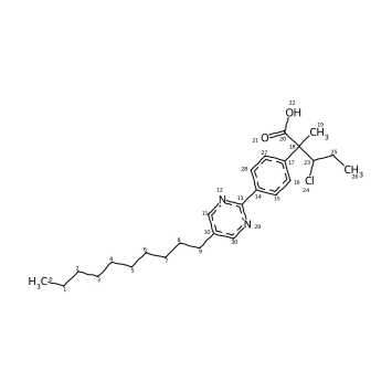 CCCCCCCCCCc1cnc(-c2ccc(C(C)(C(=O)O)C(Cl)CC)cc2)nc1